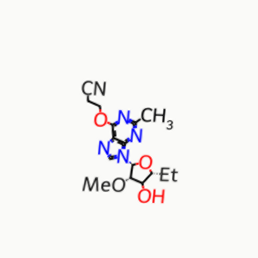 CC[C@H]1O[C@@H](n2cnc3c(OCCC#N)nc(C)nc32)[C@@H](OC)C1O